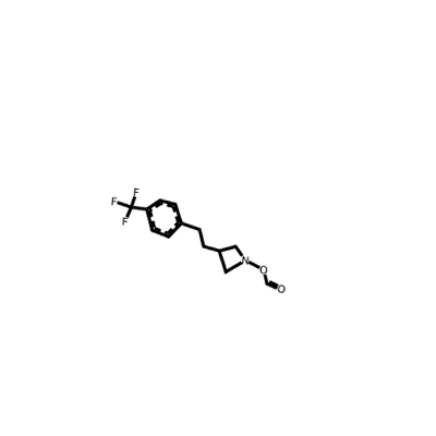 O=CON1CC(CCc2ccc(C(F)(F)F)cc2)C1